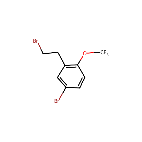 FC(F)(F)Oc1ccc(Br)cc1CCBr